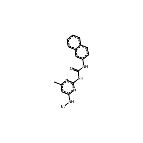 CCNc1cc(C)nc(NC(=O)Nc2ccc3ccccc3c2)n1